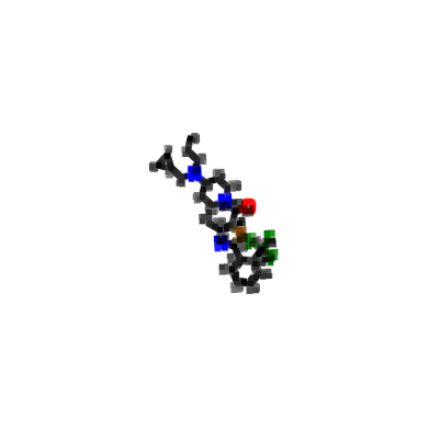 CCCN(CC1CC1)C1CCN(C(=O)c2sc(-c3ccccc3C(F)(F)F)nc2C)CC1